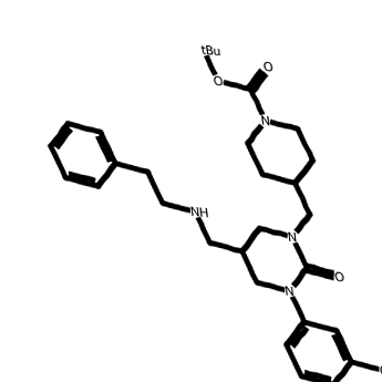 CC(C)(C)OC(=O)N1CCC(CN2CC(CNCCc3ccccc3)CN(c3cccc(C#N)c3)C2=O)CC1